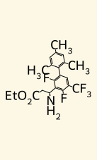 CCOC(=O)C[C@H](N)c1c(F)c(-c2c(C)cc(C)cc2C)cc(C(F)(F)F)c1F